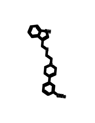 COc1cccc(C2=CCN(CCSCc3c[nH]c4ccccc34)CC2)c1